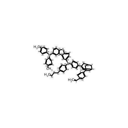 C=Cc1ccc(C23CC4CC(C2)CC(c2ccc(N(c5ccc(CCCC)cc5)c5ccc6sc7ccc(N(c8ccc(C)cc8)c8ccc(C)cc8)cc7c6c5)cc2)(C4)C3)cc1